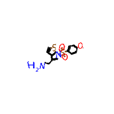 COc1ccc(S(=O)(=O)n2cc(CCN)c3ccsc32)cc1